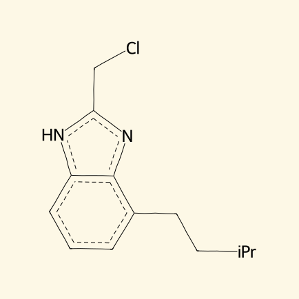 CC(C)CCc1cccc2[nH]c(CCl)nc12